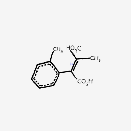 C/C(C(=O)O)=C(\C(=O)O)c1ccccc1C